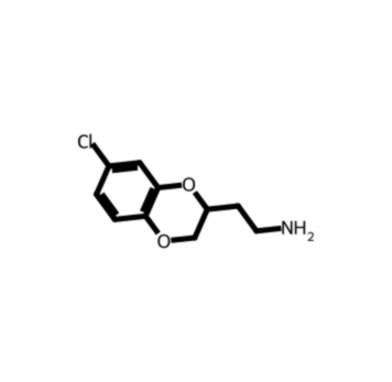 NCCC1COc2ccc(Cl)cc2O1